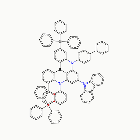 c1ccc(-c2ccc(N3c4cc([Si](c5ccccc5)(c5ccccc5)c5ccccc5)ccc4B4c5cccc(-c6ccccc6)c5N(c5cccc([Si](c6ccccc6)(c6ccccc6)c6ccccc6)c5)c5cc(-n6c7ccccc7c7ccccc76)cc3c54)cc2)cc1